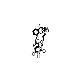 C[C@@H](NS(=O)(=O)CCCOCn1ccc(=O)[nH]c1=O)c1cccc(OCC(F)F)c1